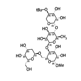 CO[C@@H]1O[C@H](CO[C@@H]2C[C@@H](O)[C@@H](O)[C@@H](CO)O2)[C@@H](O[C@@H]2O[C@H](C)[C@@H](O[C@@H]3OC[C@@H](OC(C)(C)C)[C@H](O)[C@@H]3O)[C@H](O)[C@@H]2O)[C@H](O)[C@@H]1O